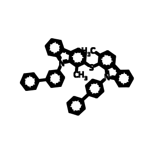 Cc1ccc2c3ccccc3n(-c3ccc(-c4ccccc4)cc3)c2c1Sc1ccc2c3ccccc3n(-c3cccc(-c4ccccc4)c3)c2c1C